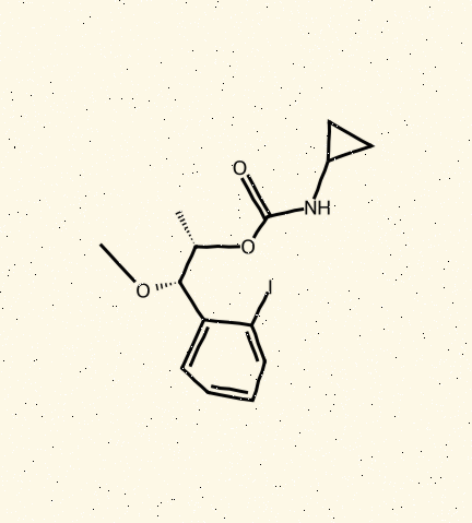 CO[C@@H](c1ccccc1I)[C@H](C)OC(=O)NC1CC1